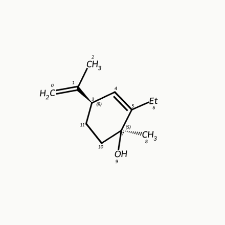 C=C(C)[C@H]1C=C(CC)[C@@](C)(O)CC1